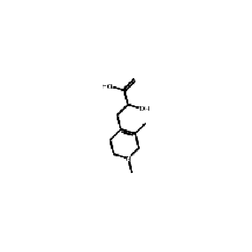 C=C(O)C(O)CC1=C(C)CN(C)CC1